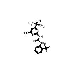 Cc1cc(C(C)(C)C)nc(NC(=N)Nc2ccccc2C(F)(F)F)n1